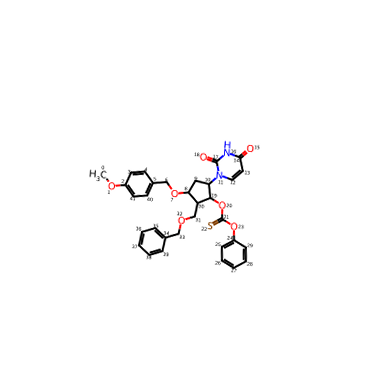 COc1ccc(COC2CC(n3ccc(=O)[nH]c3=O)C(OC(=S)Oc3ccccc3)C2COCc2ccccc2)cc1